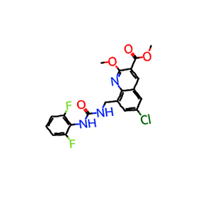 COC(=O)c1cc2cc(Cl)cc(CNC(=O)Nc3c(F)cccc3F)c2nc1OC